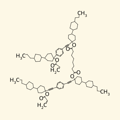 C=CC(=O)OC1(C#Cc2ccc(C#CC3(OC(=O)CCCCCCC(=O)OC4(C#Cc5ccc(C6(OC(=O)C=C)CCC(C7CCC(CCC)CC7)CC6)cc5)CCC(C5CCC(CCC)CC5)CC4)CCC(C4CCC(CCC)CC4)CC3)cc2)CCC(C2CCC(CCC)CC2)CC1